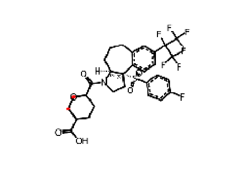 O=C(O)C12CCC(C(=O)N3CC[C@]4(S(=O)(=O)c5ccc(F)cc5)c5ccc(C(F)(C(F)(F)F)C(F)(F)F)cc5CCC[C@H]34)(CC1)OC2